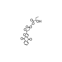 CCC(O)C(=O)OCOC(=O)CC(=O)c1cc2c(o1)C(=O)c1ccccc1C2=O